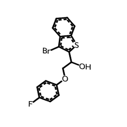 OC(COc1ccc(F)cc1)c1sc2ccccc2c1Br